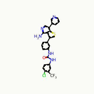 Nc1ncc(-c2cccnc2)c2scc(-c3cccc(NC(=O)Nc4ccc(Cl)c(C(F)(F)F)c4)c3)c12